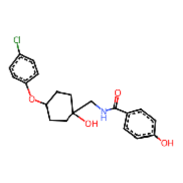 O=C(NCC1(O)CCC(Oc2ccc(Cl)cc2)CC1)c1ccc(O)cc1